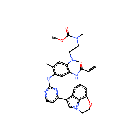 C=CC(=O)Nc1cc(Nc2nccc(-c3cn4c5c(cccc35)OCC4)n2)c(C)cc1N(C)CCN(C)C(=O)OC(C)(C)C